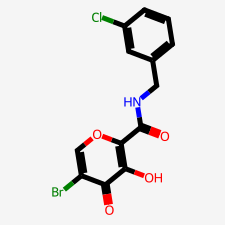 O=C(NCc1cccc(Cl)c1)c1occ(Br)c(=O)c1O